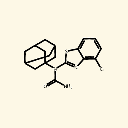 NC(=O)N(c1nc2c(Cl)cccc2s1)C12CC3CC(CC(C3)C1)C2